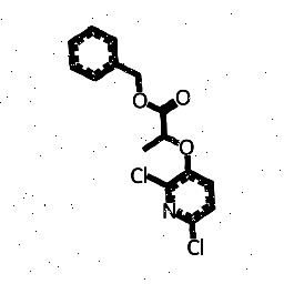 CC(Oc1ccc(Cl)nc1Cl)C(=O)OCc1ccccc1